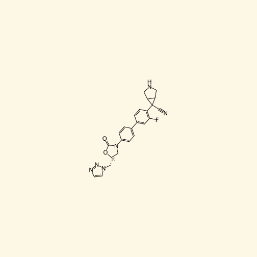 N#CC1(c2ccc(-c3ccc(N4C[C@H](Cn5ccnn5)OC4=O)cc3)cc2F)C2CNCC21